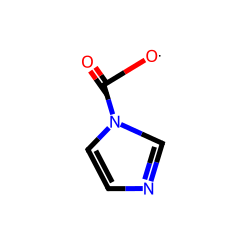 [O]C(=O)n1ccnc1